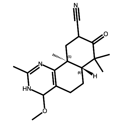 COC1NC(C)=NC2=C1CC[C@H]1C(C)(C)C(=O)C(C#N)C[C@]21C